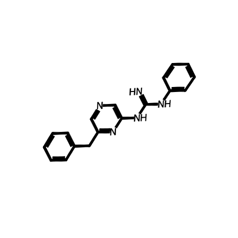 N=C(Nc1ccccc1)Nc1cncc(Cc2ccccc2)n1